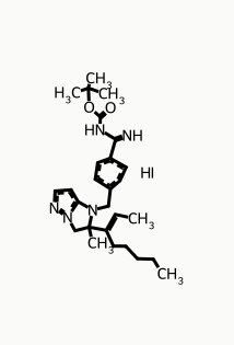 CC=C(CCCCC)C1(C)Cn2nccc2N1Cc1ccc(C(=N)NC(=O)OC(C)(C)C)cc1.I